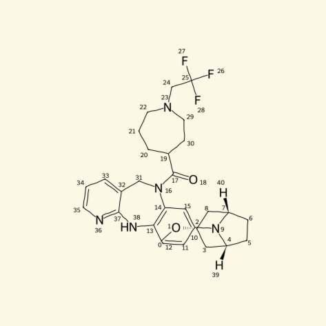 CO[C@H]1C[C@H]2CC[C@@H](C1)N2c1ccc2c(c1)N(C(=O)C1CCCN(CC(F)(F)F)CC1)Cc1cccnc1N2